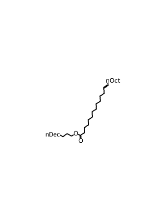 CCCCCCCCC=CCCCCCCCCCCCC(=O)OCCCCCCCCCCCCC